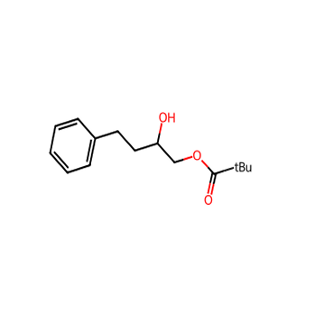 CC(C)(C)C(=O)OCC(O)CCc1ccccc1